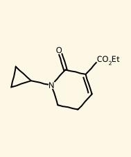 CCOC(=O)C1=CCCN(C2CC2)C1=O